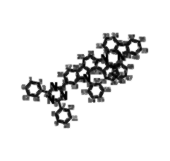 c1ccc(-c2nc(-c3ccccc3)nc(-c3ccc4c5ccc6c(c7ccccc7n6-c6cccc7c8ccccc8n(-c8ccccc8)c67)c5n(-c5ccccc5)c4c3)n2)cc1